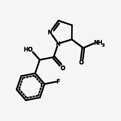 NC(=O)C1CC=NN1C(=O)C(O)c1ccccc1F